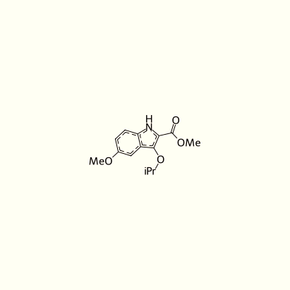 COC(=O)c1[nH]c2ccc(OC)cc2c1OC(C)C